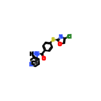 O=C(N[C@H]1CN2CCC1CC2)c1ccc(Sc2nc(Cl)co2)cc1